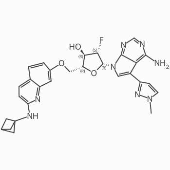 Cn1ccc(-c2cn([C@@H]3O[C@H](COc4ccc5ccc(NC67CC(C6)C7)nc5c4)[C@@H](O)[C@@H]3F)c3ncnc(N)c23)n1